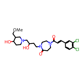 COCC1CN(CC(O)CCN2CCN(C(=O)/C=C/c3ccc(Cl)c(Cl)c3)CCC2=O)CCC1O